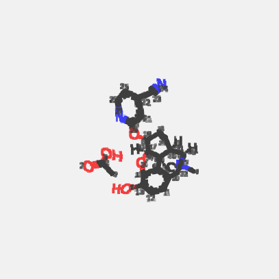 CC(=O)O.CN1CC[C@]23c4c5ccc(O)c4O[C@H]2[C@@H](Oc2cc(C#N)ccn2)C=C[C@H]3[C@H]1C5